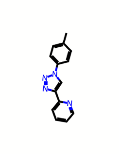 Cc1ccc(-n2cc(-c3ccccn3)nn2)cc1